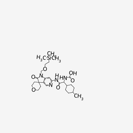 CC1CCC(C(NC(=O)O)C(=O)Nc2cc3c(cn2)C2(CCOCC2)C(=O)N3COCC[Si](C)(C)C)CC1